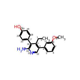 CCc1c(-c2cccc(OC)c2)cnc(N)c1-c1ccc(O)cc1